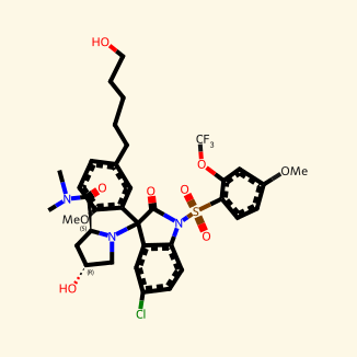 COc1ccc(S(=O)(=O)N2C(=O)C(c3cc(CCCCCO)ccc3OC)(N3C[C@H](O)C[C@H]3C(=O)N(C)C)c3cc(Cl)ccc32)c(OC(F)(F)F)c1